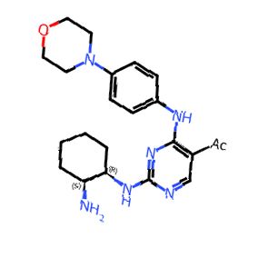 CC(=O)c1cnc(N[C@@H]2CCCC[C@@H]2N)nc1Nc1ccc(N2CCOCC2)cc1